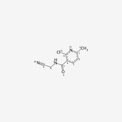 Cc1ccc(C(=O)NCC#N)c(Cl)n1